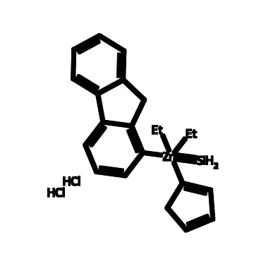 C[CH2][Zr](=[SiH2])([CH2]C)([C]1=CC=CC1)[c]1cccc2c1Cc1ccccc1-2.Cl.Cl